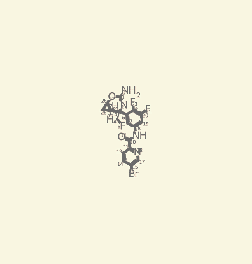 NC1=N[C@](CF)(c2cc(NC(=O)c3ccc(Br)cn3)cc(F)c2F)[C@@H]2C[C@@H]2O1